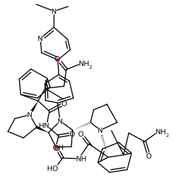 CN(C)c1ccc(-c2ccc(N3[C@H](C4CCCN4[C@@]4(C(=O)NC(=O)O)c5ccc(cc5)C4(C)CC(N)=O)CC[C@H]3C3CCCN3[C@@]3(C(=O)NC(=O)O)c4ccc(cc4)C3(C)CC(N)=O)cc2)cn1